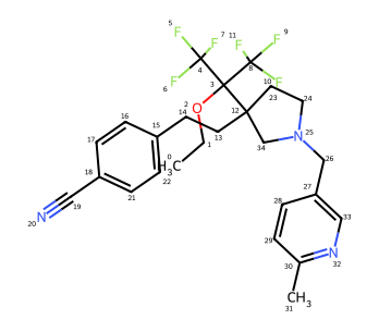 CCOC(C(F)(F)F)(C(F)(F)F)C1(CCc2ccc(C#N)cc2)CCN(Cc2ccc(C)nc2)C1